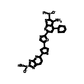 CCCC[S+]([O-])c1nc2ccc(-c3cc(-c4cnc(-c5cc(-c6ccccc6)c6c(N)c([S+]([O-])C(C)C)sc6n5)o4)cs3)nc2s1